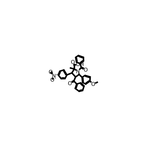 COc1ccc(C2C(C(=O)c3ccccc3)C(c3ccc([N+](=O)[O-])cc3)C(C)(C(=O)O)N2C(=O)c2ccccc2)cc1